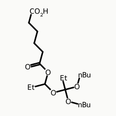 CCCCOC(CC)(OCCCC)OC(CC)OC(=O)CCCCC(=O)O